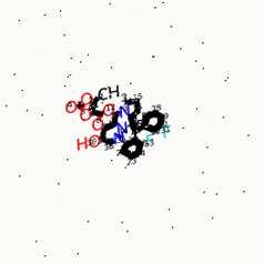 Cc1oc(=O)oc1COC1=C2C(=O)N3CCC[C@@H]3[C@H]([C@H](c3ccccc3)c3cccc(F)c3F)N2N=CC1O